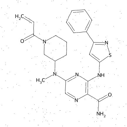 C=CC(=O)N1CCCC(N(C)c2cnc(C(N)=O)c(Nc3cc(-c4ccccc4)ns3)n2)C1